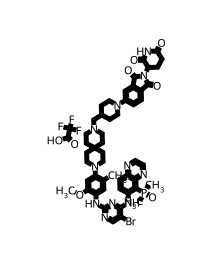 COc1cc(N2CCC3(CCN(CC4CCN(c5ccc6c(c5)C(=O)N(C5CCC(=O)NC5=O)C6=O)CC4)CC3)CC2)c(C)cc1Nc1ncc(Br)c(Nc2ccc3nccnc3c2P(C)(C)=O)n1.O=C(O)C(F)(F)F